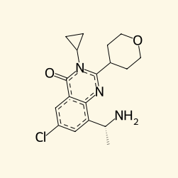 C[C@@H](N)c1cc(Cl)cc2c(=O)n(C3CC3)c(C3CCOCC3)nc12